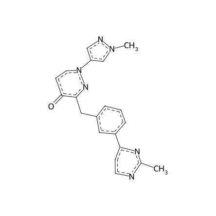 Cc1nccc(-c2cccc(Cc3nn(-c4cnn(C)c4)ccc3=O)c2)n1